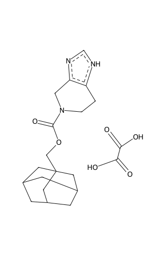 O=C(O)C(=O)O.O=C(OCC12CC3CC(CC(C3)C1)C2)N1CCc2[nH]cnc2C1